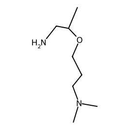 CC(CN)OCCCN(C)C